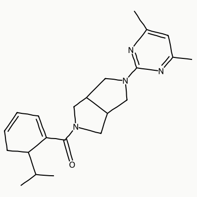 Cc1cc(C)nc(N2CC3CN(C(=O)C4=CC=CCC4C(C)C)CC3C2)n1